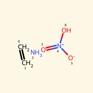 C=C.N.O=[N+]([O-])O